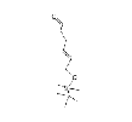 CC(C)(C)[Si](C)(C)OCC=CCCC=O